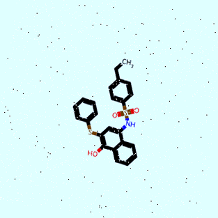 CCc1ccc(S(=O)(=O)Nc2cc(Sc3ccccc3)c(O)c3ccccc23)cc1